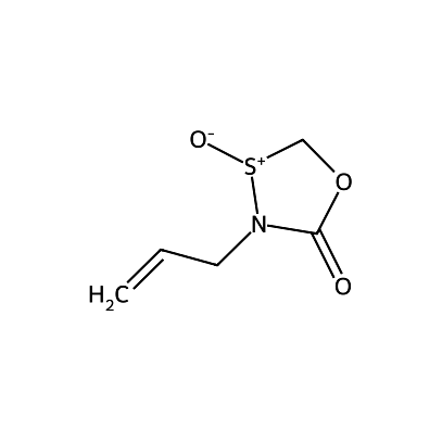 C=CCN1C(=O)OC[S+]1[O-]